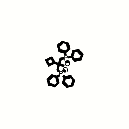 CC(CP(=O)(c1ccccc1)c1ccccc1)(CP(=O)(c1ccccc1)c1ccccc1)C1CCC1